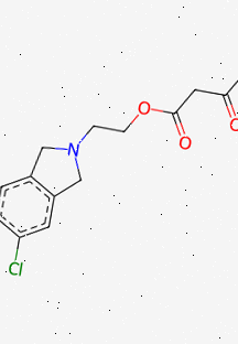 CC(=O)CC(=O)OCCN1Cc2ccc(Cl)cc2C1